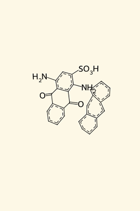 Nc1cc(S(=O)(=O)O)c(N)c2c1C(=O)c1ccccc1C2=O.c1ccc2cc3ccccc3cc2c1